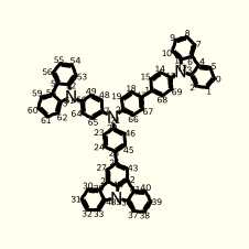 c1ccc2c(c1)c1ccccc1n2-c1ccc(-c2ccc(N(c3ccc(-c4cc5c6ccccc6n6c7ccccc7c(c4)c56)cc3)c3ccc(-n4c5ccccc5c5ccccc54)cc3)cc2)cc1